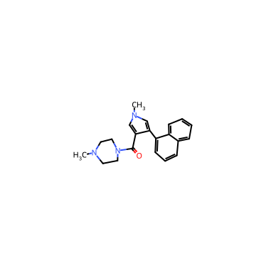 CN1CCN(C(=O)c2cn(C)cc2-c2cccc3ccccc23)CC1